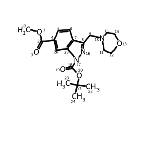 COC(=O)c1ccc2c(CN3CCOCC3)nn(C(=O)OC(C)(C)C)c2c1